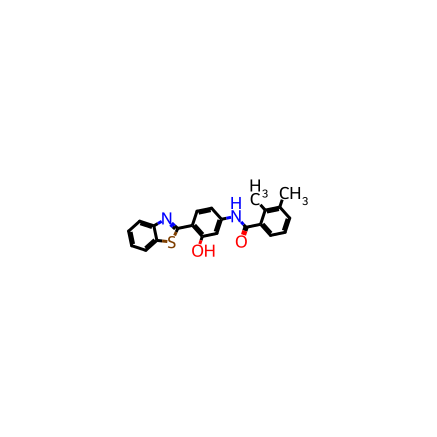 Cc1cccc(C(=O)Nc2ccc(-c3nc4ccccc4s3)c(O)c2)c1C